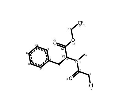 CN(C(=O)CCl)[C@@H](Cc1ccccc1)C(=O)OCC(F)(F)F